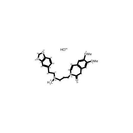 COc1cc2c(cc1OC)CC(=O)N(CCCN(C)CCc1ccc3c(c1)OCO3)C=C2.Cl